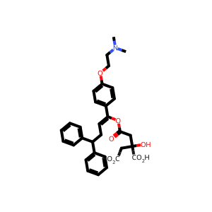 CN(C)CCOc1ccc(C(=CCC(c2ccccc2)c2ccccc2)OC(=O)CC(O)(CC(=O)O)C(=O)O)cc1